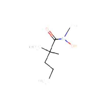 CCCCN(O)C(=O)C(C)(CCC(=O)O)C(=O)O